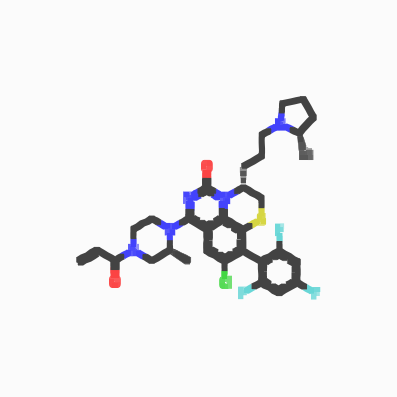 C=CC(=O)N1CCN(c2nc(=O)n3c4c(c(-c5c(F)cc(F)cc5F)c(Cl)cc24)SC[C@H]3CCCN2CCC[C@H]2CC)[C@@H](C)C1